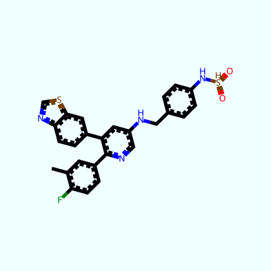 Cc1cc(-c2ncc(NCc3ccc(N[SH](=O)=O)cc3)cc2-c2ccc3ncsc3c2)ccc1F